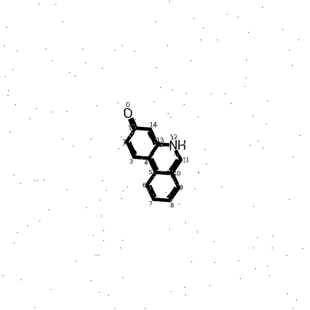 O=c1ccc2c3ccccc3c[nH]c-2c1